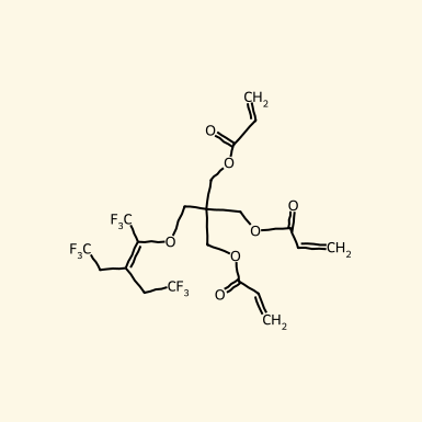 C=CC(=O)OCC(COC(=O)C=C)(COC(=O)C=C)COC(=C(CC(F)(F)F)CC(F)(F)F)C(F)(F)F